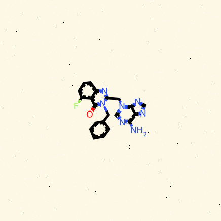 Nc1ncn(Cc2nc3cccc(F)c3c(=O)n2Cc2ccccc2)c2ncnc1-2